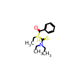 CCN(CC)C(=S)[SH](CC)C(=O)c1ccccc1